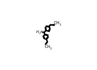 CCCc1ccc(C(N)c2ccc(CCC)cc2)cc1